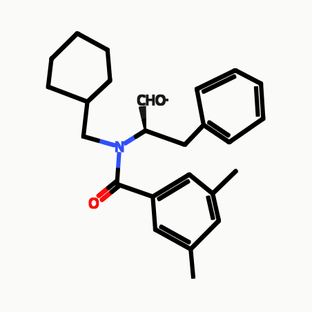 Cc1cc(C)cc(C(=O)N(CC2CCCCC2)[C@@H]([C]=O)Cc2ccccc2)c1